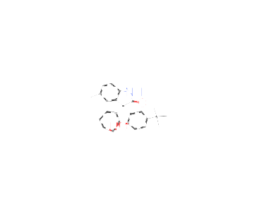 Cc1ccc2c(c1)C(c1ccccc1)(c1cc(C(C)(C)C)ccc1O)C(=O)N2